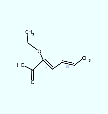 C/C=C/C=C(\OCC)C(=O)O